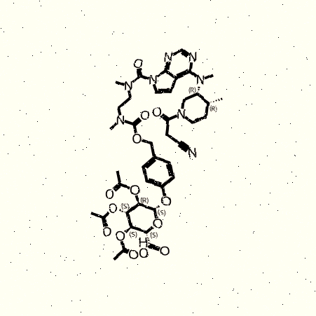 CC(=O)O[C@@H]1[C@@H](OC(C)=O)[C@H](Oc2ccc(COC(=O)N(C)CCN(C)C(=O)n3ccc4c(N(C)[C@H]5CN(C(=O)CC#N)CC[C@H]5C)ncnc43)cc2)O[C@H](C(=O)O)[C@H]1OC(C)=O